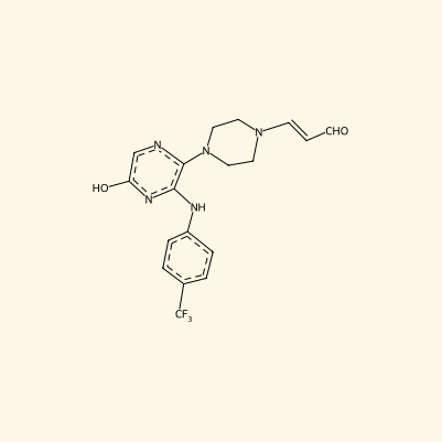 O=CC=CN1CCN(c2ncc(O)nc2Nc2ccc(C(F)(F)F)cc2)CC1